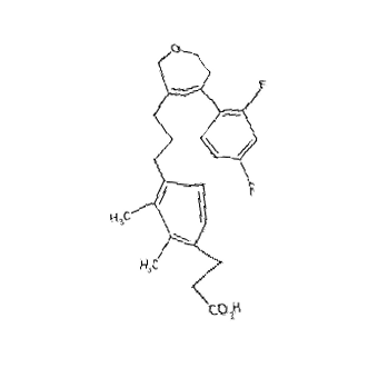 Cc1c(CCCC2=C(c3ccc(F)cc3F)CCOC2)ccc(CCC(=O)O)c1C